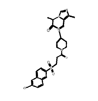 Cc1ncn2c1CN(C1CCN(C(=O)CCS(=O)(=O)c3ccc4cc(Cl)ccc4c3)CC1)C(=O)C2C